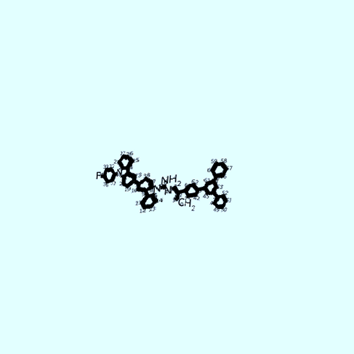 C=C/C(=C\N=C(/N)n1c2c(c3ccccc31)=CC(c1ccc3c(c1)c1ccccc1n3-c1ccc(F)cc1)CC=2)c1ccc(-c2cc(-c3ccccc3)cc(-c3ccccc3)c2)cc1